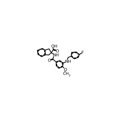 COc1ccc(C(=O)NC2(C(=O)O)Cc3ccccc3C2)cc1NCc1ccc(F)cc1